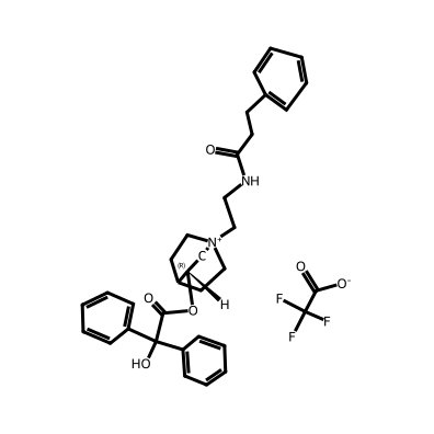 O=C(CCc1ccccc1)NCC[N+]12CCC(CC1)[C@@H](OC(=O)C(O)(c1ccccc1)c1ccccc1)C2.O=C([O-])C(F)(F)F